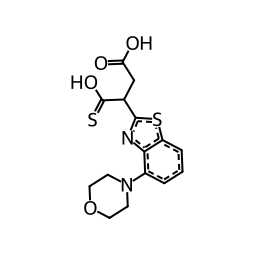 O=C(O)CC(C(O)=S)c1nc2c(N3CCOCC3)cccc2s1